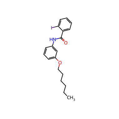 CCCCCCOc1cccc(NC(=O)c2ccccc2I)c1